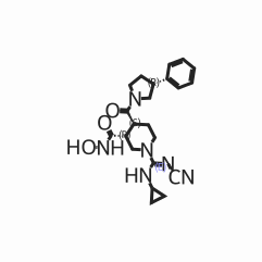 N#C/N=C(\NC1CC1)N1CC[C@H](C(=O)N2CC[C@H](c3ccccc3)C2)[C@@H](C(=O)NO)C1